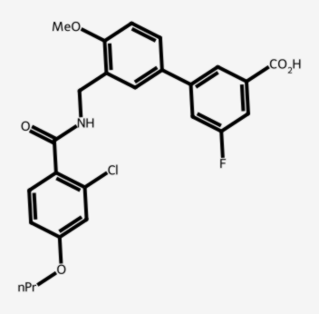 CCCOc1ccc(C(=O)NCc2cc(-c3cc(F)cc(C(=O)O)c3)ccc2OC)c(Cl)c1